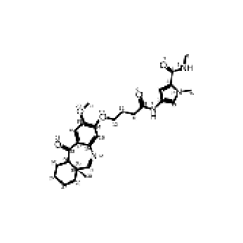 CNC(=O)c1cc(NC(=O)CCCOc2cc3c(cc2OC)C(=O)C2CCCC[C@@]2(C)C=N3)cn1C